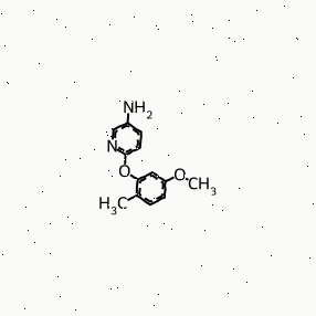 COc1ccc(C)c(Oc2ccc(N)cn2)c1